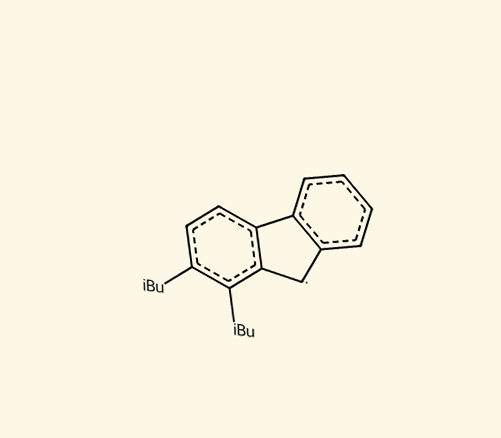 CCC(C)c1ccc2c(c1C(C)CC)[CH]c1ccccc1-2